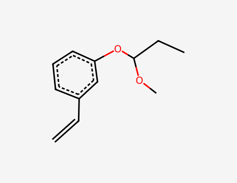 C=Cc1cccc(OC(CC)OC)c1